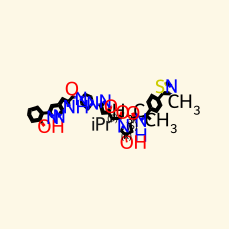 Cc1ncsc1-c1ccc(C(C)(C)NC(=O)[C@@H]2C[C@@H](O)CN2C(=O)[C@H](c2cc(N3CCN(C(=O)c4cc5cc(-c6ccccc6O)nnc5[nH]4)CC3)no2)C(C)C)cc1